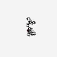 c1ccc(-c2nc(-c3ccccc3)nc(-c3cccc(-c4ccc5c6c(ccc5c4)-c4c(ccc5ccccc45)C64c5ccccc5-c5ccccc54)c3)n2)cc1